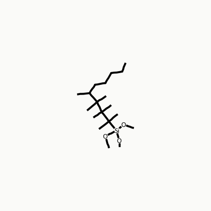 CCCCCC(C)C(C)(C)C(C)(C)C(C)(C)[Si](OC)(OC)OC